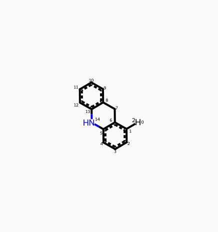 [2H]c1cccc2c1Cc1ccccc1N2